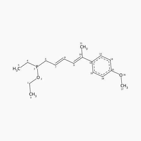 CCOP(CC)CC=CC=C(C)c1ccc(OC)cc1